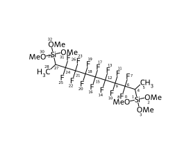 CO[Si](OC)(OC)C(C)C(F)(F)C(F)(F)C(F)(F)C(F)(F)C(F)(F)C(F)(F)C(F)(F)C(C)[Si](OC)(OC)OC